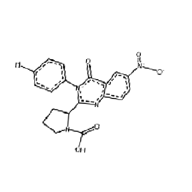 O=C(O)N1CCCC1c1nc2ccc([N+](=O)[O-])cc2c(=O)n1-c1ccc(Cl)cc1